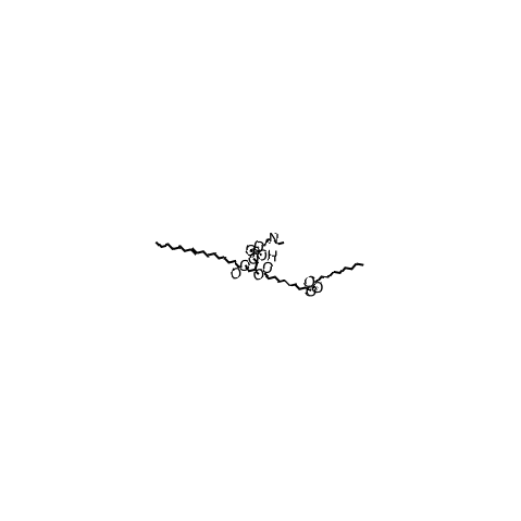 CCCCCCCCCCCCCCCC(=O)OCC(COP(=O)(O)OCCN(C)CC)OC(=O)CCCCCCCC1OOC(CCCCCCCC)O1